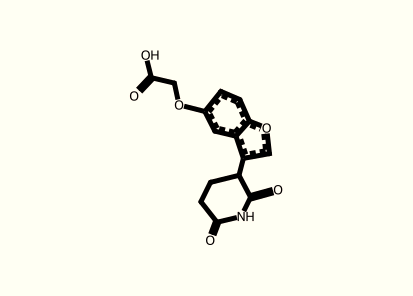 O=C(O)COc1ccc2occ(C3CCC(=O)NC3=O)c2c1